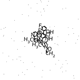 C=CC(=O)N1CC(C)N2c3nc(=O)n(-c4c(C)ccnc4C(C)C)c4c(F)c(-c5c(O)ccc(F)c5F)c(Cl)c(c34)NCC2C1